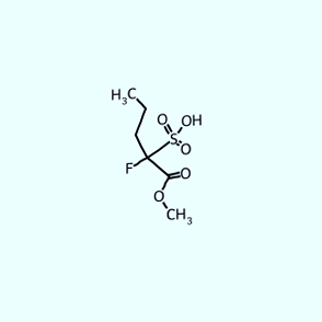 CCCC(F)(C(=O)OC)S(=O)(=O)O